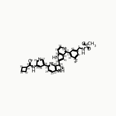 CS(=O)(=O)NCc1cc(F)cc(-c2nccc3[nH]c(-c4n[nH]c5ccc(-c6cncc(NC(=O)C7CCC7)c6)nc45)cc23)c1